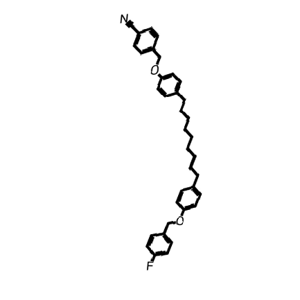 N#Cc1ccc(COc2ccc(CCCCCCCCCc3ccc(OCc4ccc(F)cc4)cc3)cc2)cc1